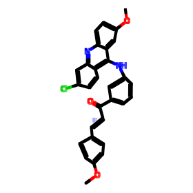 COc1ccc(/C=C/C(=O)c2cccc(Nc3c4ccc(Cl)cc4nc4ccc(OC)cc34)c2)cc1